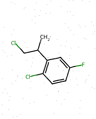 [CH2]C(CCl)c1cc(F)ccc1Cl